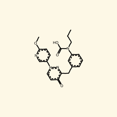 CCCN(C(=O)O)c1cccc(Cc2nn(-c3ccc(OC)nc3)ccc2=O)c1